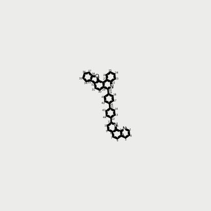 c1cnc2c(c1)ccc1ccc(-c3ccc(-c4ccc(-c5nc6ccccc6c6c5ccc5c7ccccc7oc56)cc4)cc3)nc12